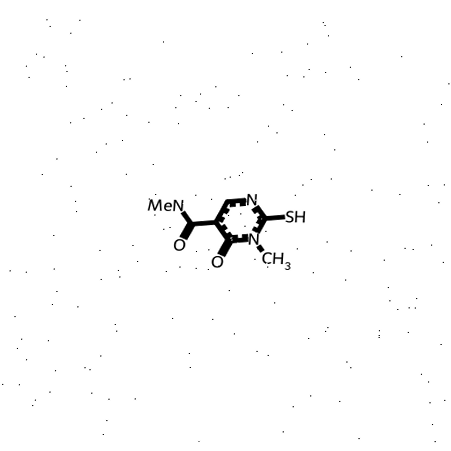 CNC(=O)c1cnc(S)n(C)c1=O